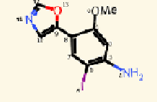 COc1cc(N)c(I)cc1-c1cnco1